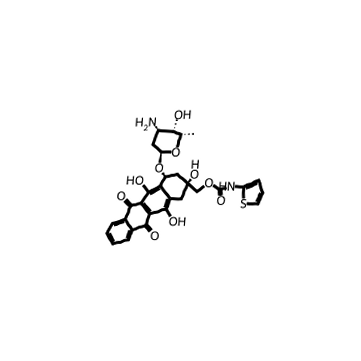 C[C@@H]1O[C@@H](O[C@H]2C[C@](O)(COC(=O)Nc3cccs3)Cc3c(O)c4c(c(O)c32)C(=O)c2ccccc2C4=O)C[C@H](N)[C@@H]1O